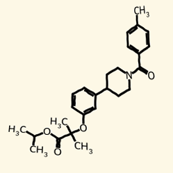 Cc1ccc(C(=O)N2CCC(c3cccc(OC(C)(C)C(=O)OC(C)C)c3)CC2)cc1